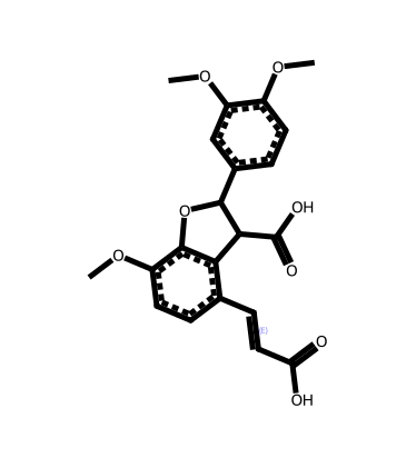 COc1ccc(C2Oc3c(OC)ccc(/C=C/C(=O)O)c3C2C(=O)O)cc1OC